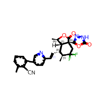 Cc1cccc(-c2ccc(/C=C/[C@@H]3[C@@H]4[C@@H](C)OC(=O)[C@]4(c4n[nH]c(=O)o4)CC(F)(F)[C@H]3C)nc2)c1C#N